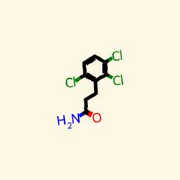 NC(=O)CCc1c(Cl)ccc(Cl)c1Cl